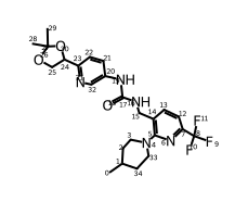 CC1CCN(c2nc(C(F)(F)F)ccc2CNC(=O)Nc2ccc(C3COC(C)(C)O3)nc2)CC1